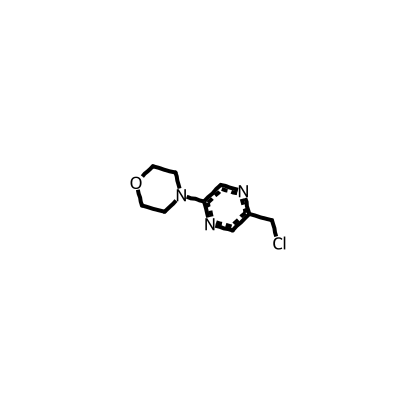 ClCc1cnc(N2CCOCC2)cn1